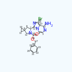 Nc1nccn2c([C@@H]3CC4(CC4)CN3C(=O)OCc3ccccc3)nc(Br)c12